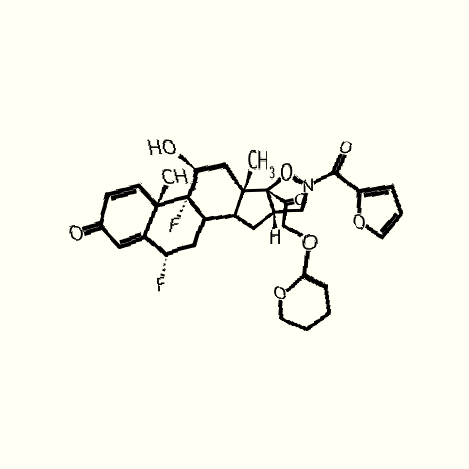 C[C@]12C=CC(=O)C=C1[C@@H](F)CC1C3C[C@H]4CN(C(=O)c5ccco5)O[C@@]4(C(=O)COC4CCCCO4)[C@@]3(C)C[C@H](O)[C@@]12F